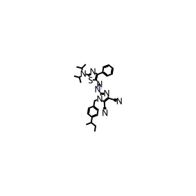 CCC(C)c1ccc(Cn2c(/N=N/c3sc(N(C(C)C)C(C)C)nc3-c3ccccc3)nc(C#N)c2C#N)cc1